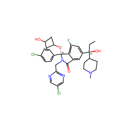 CC[C@@](O)(c1cc(F)c2c(c1)C(=O)N(Cc1ncc(Cl)cn1)[C@@]2(OC1CC(O)C1)c1ccc(Cl)cc1)C1CCN(C)CC1